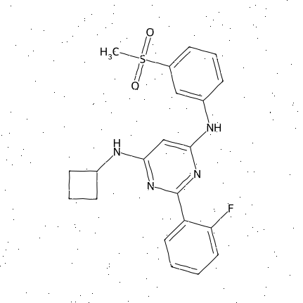 CS(=O)(=O)c1cccc(Nc2cc(NC3CCC3)nc(-c3ccccc3F)n2)c1